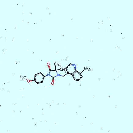 CNc1cccc2c(CN3C(=O)N(c4ccc(OC(F)(F)F)cc4)C(=O)C3(C)C)ccnc12